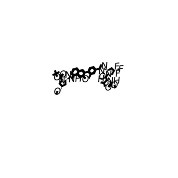 COC[C@H]1C[C@@H](c2nc3ccc4cc5c(cc4c3[nH]2)OCc2cc(-c3cnc([C@@H]4C[C@H](C(F)(F)F)CN4C(=O)[C@@H](NC(=O)OC)C(C)C)[nH]3)ccc2-5)N(C(=O)OC(C)(C)C)C1